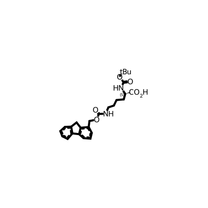 CC(C)(C)OC(=O)N[C@@H](CCCCNC(=O)OCc1cccc2c1Cc1ccccc1-2)C(=O)O